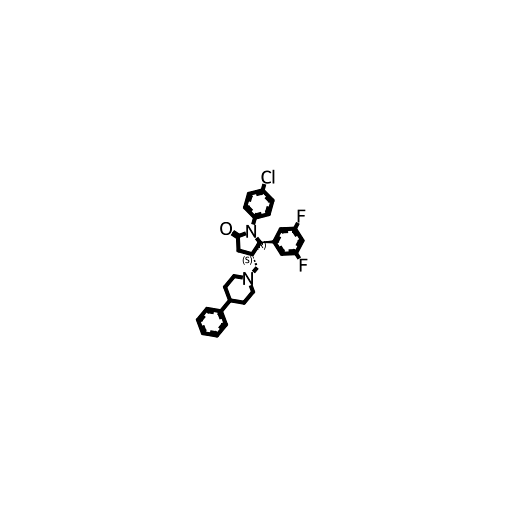 O=C1C[C@@H](CN2CCC(c3ccccc3)CC2)[C@H](c2cc(F)cc(F)c2)N1c1ccc(Cl)cc1